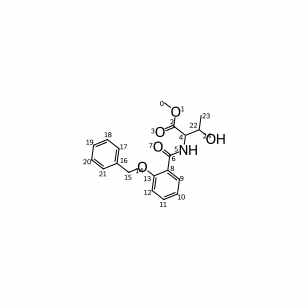 COC(=O)C(NC(=O)c1ccccc1OCc1ccccc1)C(C)O